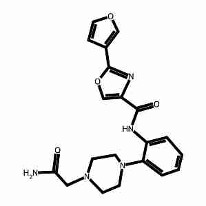 NC(=O)CN1CCN(c2ccccc2NC(=O)c2coc(-c3ccoc3)n2)CC1